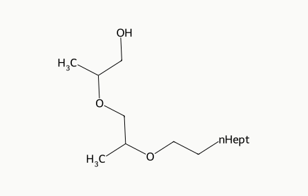 CCCCCCCCCOC(C)COC(C)CO